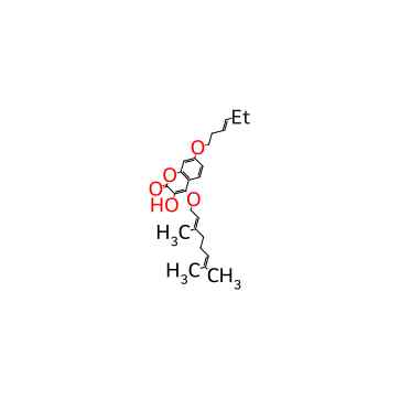 CCC=CCCOc1ccc2c(OC/C=C(\C)CCC=C(C)C)c(O)c(=O)oc2c1